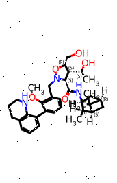 COc1c(CN2O[C@@H](CO)[C@H]([C@H](C)O)[C@H]2C(=O)N[C@H]2C[C@H]3C[C@@H]([C@@H]2C)C3(C)C)cccc1-c1cccc2c1NCCC2